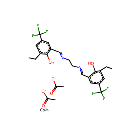 CC(=O)[O-].CC(=O)[O-].CCc1cc(C(F)(F)F)cc(C=NCCN=Cc2cc(C(F)(F)F)cc(CC)c2O)c1O.[Co+2]